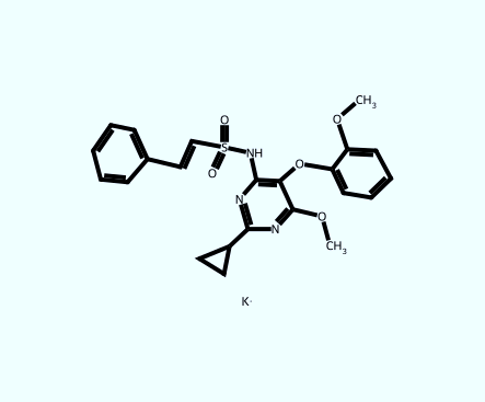 COc1ccccc1Oc1c(NS(=O)(=O)C=Cc2ccccc2)nc(C2CC2)nc1OC.[K]